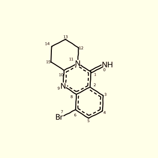 N=c1c2cccc(Br)c2nc2n1CCCC2